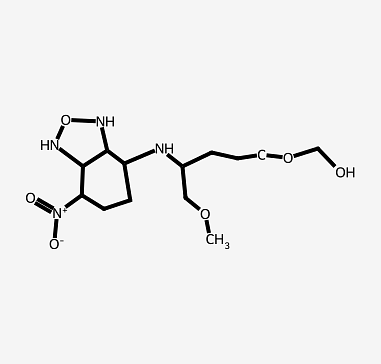 COCC(CCCOCO)NC1CCC([N+](=O)[O-])C2NONC12